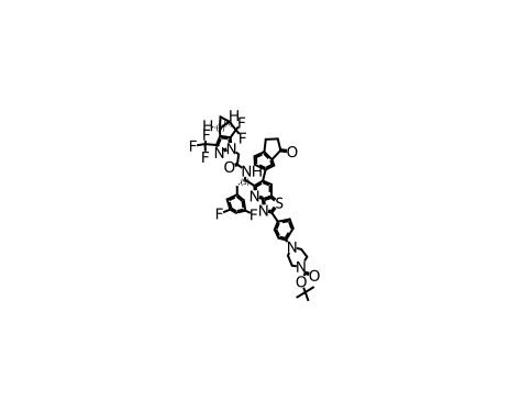 CC(C)(C)OC(=O)N1CCN(c2ccc(-c3nc4nc([C@H](Cc5cc(F)cc(F)c5)NC(=O)Cn5nc(C(F)(F)F)c6c5C(F)(F)[C@@H]5C[C@H]65)c(-c5ccc6c(c5)C(=O)CC6)cc4s3)cc2)CC1